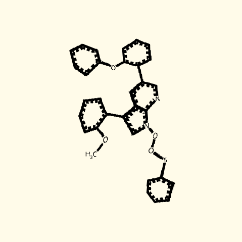 COc1ccccc1-c1cn(OOSc2ccccc2)c2ncc(-c3ccccc3Oc3ccccc3)cc12